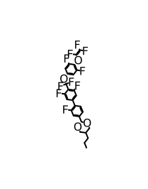 CCCC1COC(c2ccc(-c3cc(F)c(C(F)(F)Oc4cc(F)c(OC(F)=C(F)F)c(F)c4)c(F)c3)c(F)c2)OC1